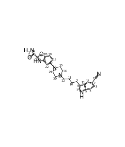 N#Cc1ccc2[nH]cc(CCCCN3CCN(c4ccc5c(c4)NC(C(N)=O)O5)CC3)c2c1